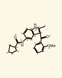 COc1ccccc1C(=O)c1c(C)[nH]c2ccc(NC(=O)C3CCCC3)cc12